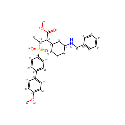 COC(=O)C(C1CCCC(NCc2ccccc2)C1)N(C)S(=O)(=O)c1ccc(-c2ccc(OC)cc2)cc1